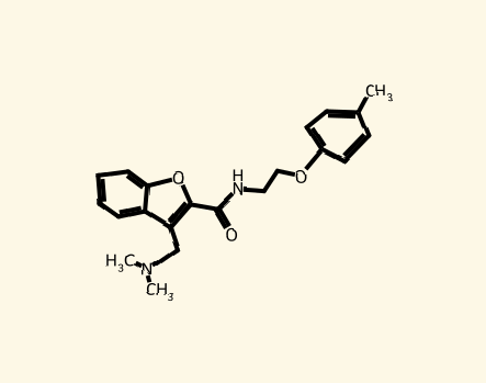 Cc1ccc(OCCNC(=O)c2oc3ccccc3c2CN(C)C)cc1